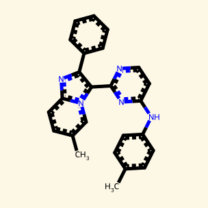 Cc1ccc(Nc2ccnc(-c3c(-c4ccccc4)nc4ccc(C)cn34)n2)cc1